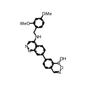 COc1ccc(CNc2cnnc3cc(-c4ccc5c(c4)B(O)ON=C5)ccc23)c(OC)c1